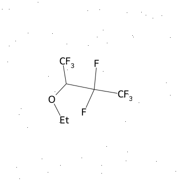 CCOC(C(F)(F)F)C(F)(F)C(F)(F)F